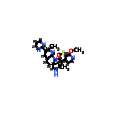 COc1nccc(C(C)C(=O)N2c3nc(C)c(-c4ncccn4)cc3CC[C@@]23CCNC3)c1F